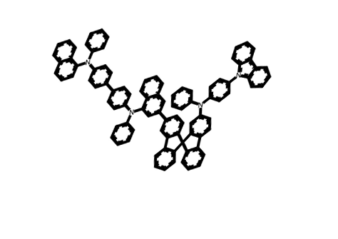 c1ccc(N(c2ccc(-n3c4ccccc4c4ccccc43)cc2)c2ccc3c(c2)C2(c4ccccc4-c4cc(-c5cc(N(c6ccccc6)c6ccc(-c7ccc(N(c8ccccc8)c8cccc9ccccc89)cc7)cc6)c6ccccc6c5)ccc42)c2ccccc2-3)cc1